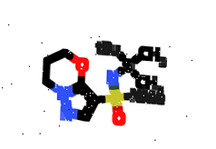 CNS(=O)(=N[Si](C)(C)C(C)(C)C)c1cnn2c1OCCC2